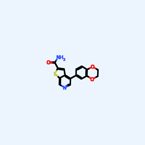 NC(=O)c1cc2c(-c3ccc4c(c3)OCCO4)cncc2s1